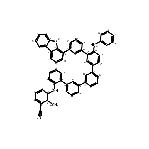 CC1C(C#N)=CC=CC1Nc1ccccc1-c1cccc(-c2cccc(-c3ccc(Nc4ccccc4)c(-c4cccc(-c5cccc6c5sc5ccccc56)c4)c3)c2)c1